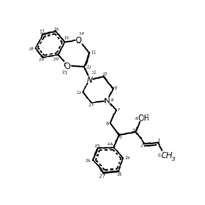 CC=CC(O)C(CCN1CCN(C2COc3ccccc3O2)CC1)c1ccccc1